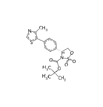 Cc1ncsc1-c1ccc([C@@H]2COS(=O)(=O)N2C(=O)OC(C)(C)C)cc1